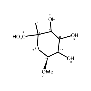 CO[C@H]1OC(C)(C(=O)O)C(O)C(O)C1O